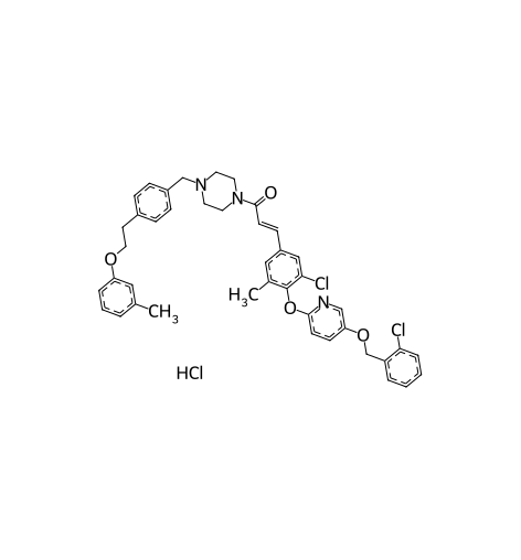 Cc1cccc(OCCc2ccc(CN3CCN(C(=O)C=Cc4cc(C)c(Oc5ccc(OCc6ccccc6Cl)cn5)c(Cl)c4)CC3)cc2)c1.Cl